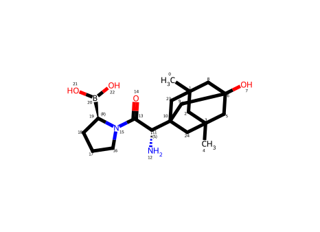 CC12CC3(C)CC(O)(C1)CC([C@H](N)C(=O)N1CCC[C@H]1B(O)O)(C2)C3